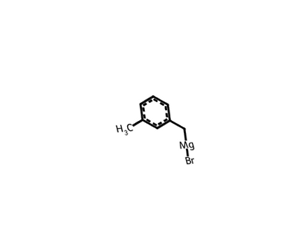 Cc1cccc([CH2][Mg][Br])c1